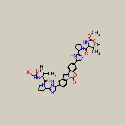 COC(=O)NC(C(=O)N1CCCC1c1ncc(-c2ccc3c(c2)oc(=O)n2c4ccc(-c5cnc(C6CCCN6C(=O)C(NC(=O)CO)C(C)C)[nH]5)cc4cc32)[nH]1)C(C)C